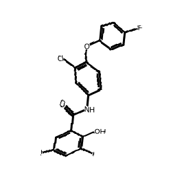 O=C(Nc1ccc(Oc2ccc(F)cc2)c(Cl)c1)c1cc(I)cc(I)c1O